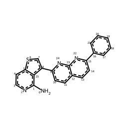 Nc1nccc2scc(-c3ccc4ccc(-c5ccccc5)nc4n3)c12